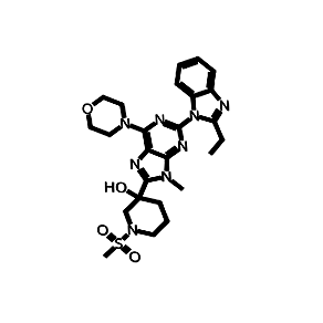 CCc1nc2ccccc2n1-c1nc(N2CCOCC2)c2nc(C3(O)CCCN(S(C)(=O)=O)C3)n(C)c2n1